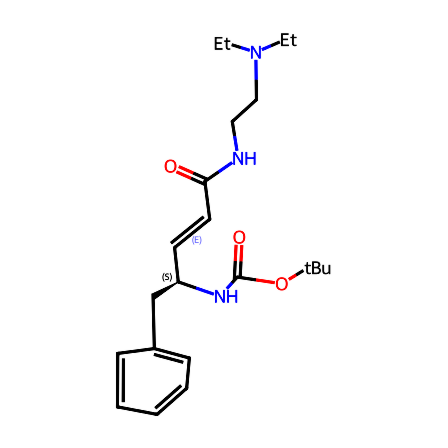 CCN(CC)CCNC(=O)/C=C/[C@H](Cc1ccccc1)NC(=O)OC(C)(C)C